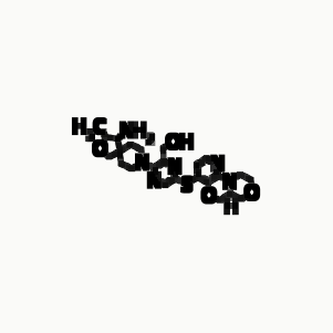 C[C@@H]1OCC2(CCN(c3ncc(Sc4ccnc5c4OC[C@@H]4COCCN54)nc3CO)CC2)[C@@H]1N